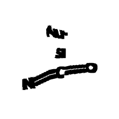 O=[C]=[Ni].[Au].[Si]